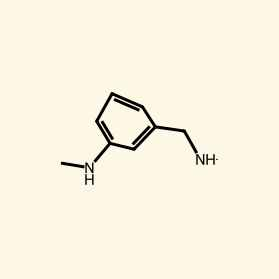 CNc1cccc(C[NH])c1